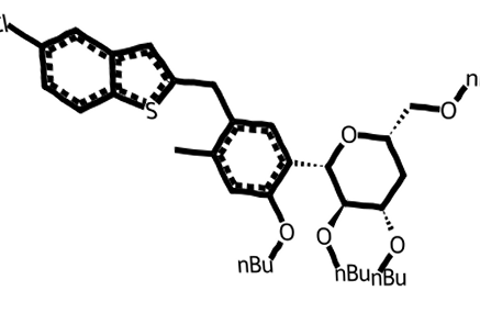 CCCCOC[C@@H]1C[C@H](OCCCC)[C@@H](OCCCC)[C@H](c2cc(Cc3cc4cc(Cl)ccc4s3)c(C)cc2OCCCC)O1